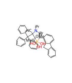 CCC(c1cccc2c1Cc1ccccc1-2)P(O)(O)(O)C(OC)(OC)C(C#N)(N(C(C)C)C(C)C)C(c1ccccc1)(c1ccccc1)c1ccccc1